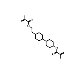 C=C(C)C(=O)OCCC1CCC(C2CCC(OC(=O)C(=C)C)CC2)CC1